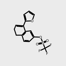 O=S(=O)(Oc1ccc2c(c1)C(c1ccco1)=CCC2)C(F)(F)F